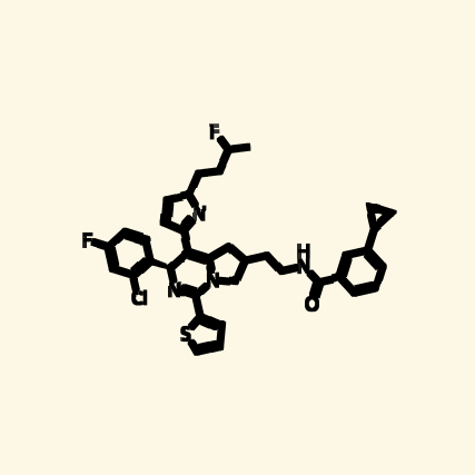 CC(F)CCC1C=CC(C2=C3CC(CCNC(=O)c4cccc(C5CC5)c4)CN3C(c3cccs3)=N[C@H]2c2ccc(F)cc2Cl)=N1